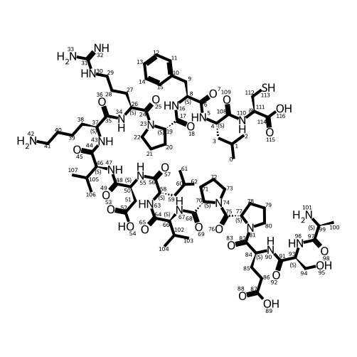 CC(C)C[C@H](NC(=O)[C@H](Cc1ccccc1)NC(=O)[C@@H]1CCCN1C(=O)[C@H](CCCNC(=N)N)NC(=O)[C@H](CCCCN)NC(=O)[C@@H](NC(=O)[C@H](CC(=O)O)NC(=O)[C@H](CC(C)C)NC(=O)[C@@H](NC(=O)[C@@H]1CCCN1C(=O)[C@@H]1CCCN1C(=O)[C@H](CCC(=O)O)NC(=O)[C@H](CO)NC(=O)[C@H](C)N)C(C)C)C(C)C)C(=O)N[C@@H](CS)C(=O)O